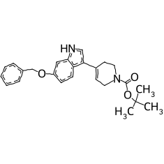 CC(C)(C)OC(=O)N1CC=C(c2c[nH]c3cc(OCc4ccccc4)ccc23)CC1